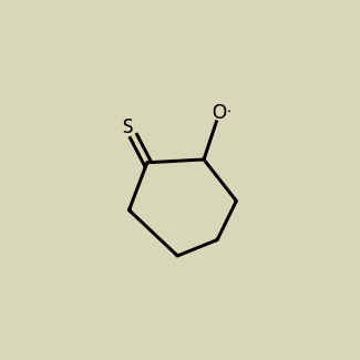 [O]C1CCCCC1=S